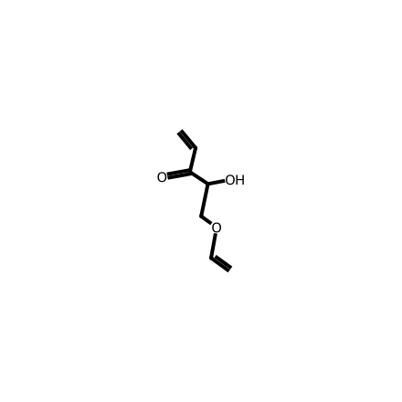 C=COCC(O)C(=O)C=C